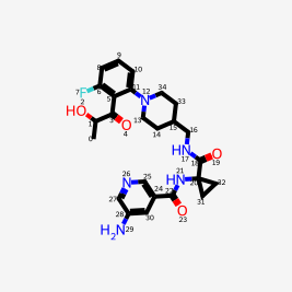 CC(O)C(=O)c1c(F)cccc1N1CCC(CNC(=O)C2(NC(=O)c3cncc(N)c3)CC2)CC1